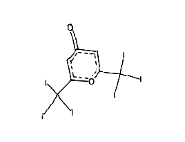 O=c1cc(C(I)(I)I)oc(C(I)(I)I)c1